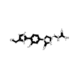 O=C(O)NC[C@H]1CN(c2ccc(-c3nc(CCl)cs3)c(F)c2)C(=O)O1